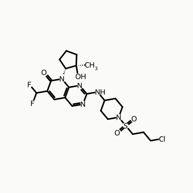 C[C@@]1(O)CCC[C@H]1n1c(=O)c(C(F)F)cc2cnc(NC3CCN(S(=O)(=O)CCCCl)CC3)nc21